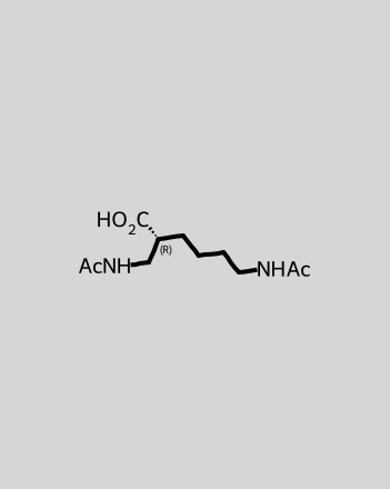 CC(=O)NCCCC[C@H](CNC(C)=O)C(=O)O